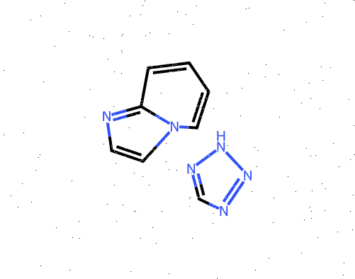 c1ccn2ccnc2c1.c1nn[nH]n1